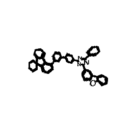 c1ccc(-c2nc(-c3ccc(-c4cccc(-c5cccc6c5-c5ccccc5C65CCCCC5)c4)cc3)nc(-c3ccc4oc5ccccc5c4c3)n2)cc1